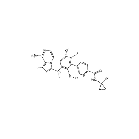 CCC1(NC(=O)c2ccc(-c3c(F)c(Cl)cc([C@H](C)c4nc(C)c5c(N)nccn45)c3OC(C)C)cn2)CC1